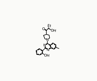 CC[C@H](O)C(=O)C1CCN(c2nc(-c3ccccc3O)nc3cc(C)ccc23)CC1